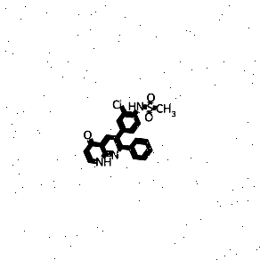 CS(=O)(=O)Nc1ccc(-c2cc3c(=O)cc[nH]c3nc2-c2ccccc2)cc1Cl